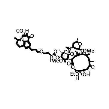 CC[C@H]1OC(=O)[C@H](C)[C@@H](O[C@H]2C[C@@](C)(OC)[C@@H](OC(=O)NCCOCCCc3cc4c5c(c3)c(=O)c(C(=O)O)cn5C(C)CC4)[C@H](C)O2)[C@H](C)[C@@H](OC2O[C@H](C)C[C@H](N(C)C)[C@H]2O)[C@](C)(OC)C[C@@H](C)C(=O)[C@H](C)[C@@H](O)[C@]1(C)O